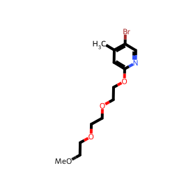 COCCOCCOCCOc1cc(C)c(Br)cn1